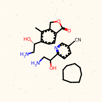 Cc1c([C@@H](O)CN)ccc2c1COC2=O.N#Cc1ccc(C(O)CN)nc1.[CH]1CCCCCCC1